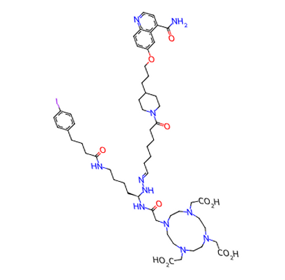 NC(=O)c1ccnc2ccc(OCCCC3CCN(C(=O)CCCCC/C=N/N[C@H](CCCCNC(=O)CCCc4ccc(I)cc4)NC(=O)CN4CCN(CC(=O)O)CCN(CC(=O)O)CCN(CC(=O)O)CC4)CC3)cc12